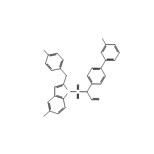 C=CC(c1ccc(-c2cccc(F)c2)cc1)S(=O)(=O)n1c(Cc2ccc(C(=O)O)cc2)cc2cc(Cl)ccc21